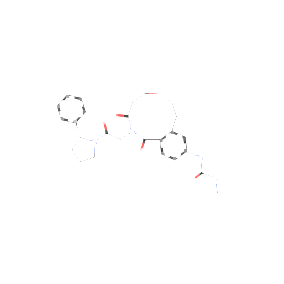 CNC(=O)Nc1ccc2c(c1)CCOCCC(=O)N(CC(=O)N1CCC[C@H]1c1ccccc1)C2=O